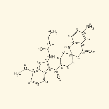 CCNC(=O)Nc1sc2c(OC)cccc2c1C(=O)N1CCC2(CC1)CC(=O)c1cc(N)ccc1S2